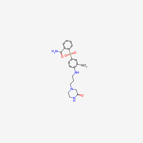 NC(=O)c1ccccc1S(=O)(=O)c1ccc(NCCCN2CCNC(=O)C2)c([N+](=O)[O-])c1